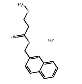 Br.CSCCC(=N)SCc1ccc2ccccc2c1